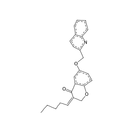 CCCCC=C1COc2ccc(OCc3ccc4ccccc4n3)cc2C1=O